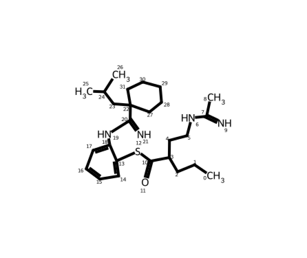 CCCC(CCNC(C)=N)C(=O)Sc1ccccc1NC(=N)C1(CC(C)C)CCCCC1